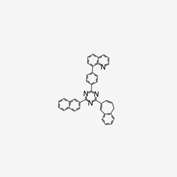 C1=CC(c2nc(-c3ccc(-c4cccc5cccnc45)cc3)nc(-c3ccc4ccccc4c3)n2)=Cc2ccccc2C1